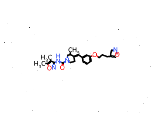 Cc1onc(NC(=O)N2CCC(=Cc3cccc(OCCCc4cnoc4)c3)C(C)C2)c1C